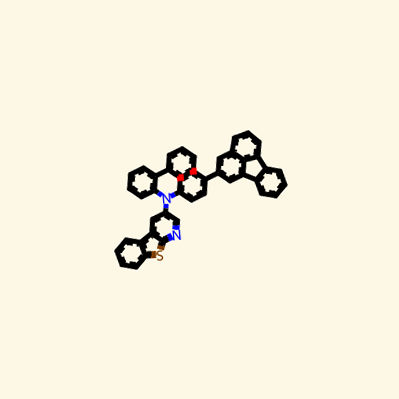 c1ccc(-c2ccccc2N(c2ccc(-c3cc4c5c(cccc5c3)-c3ccccc3-4)cc2)c2cnc3sc4ccccc4c3c2)cc1